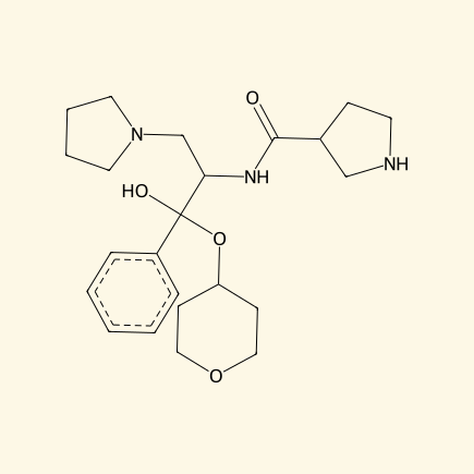 O=C(NC(CN1CCCC1)C(O)(OC1CCOCC1)c1ccccc1)C1CCNC1